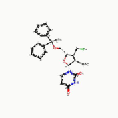 CC(=O)O[C@@H]1[C@H](CF)[C@@H](CO[Si](c2ccccc2)(c2ccccc2)C(C)(C)C)O[C@H]1n1ccc(=O)[nH]c1=O